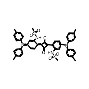 Cc1ccc(N(c2ccc(C)cc2)c2ccc(C3=C([O-])/C(=C4/C=CC(=[N+](c5ccc(C)cc5)c5ccc(C)cc5)C=C4NS(C)(=O)=O)C3=O)c(NS(C)(=O)=O)c2)cc1